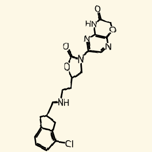 O=C1COc2ncc(N3CC(CCNCC4Cc5cccc(Cl)c5C4)OC3=O)nc2N1